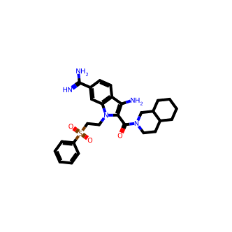 N=C(N)c1ccc2c(N)c(C(=O)N3CCC4CCCCC4C3)n(CCS(=O)(=O)c3ccccc3)c2c1